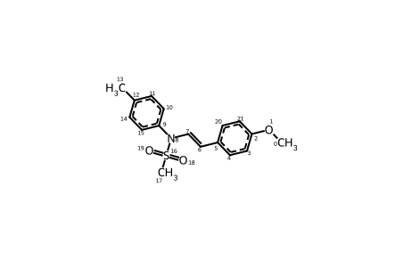 COc1ccc(C=CN(c2ccc(C)cc2)S(C)(=O)=O)cc1